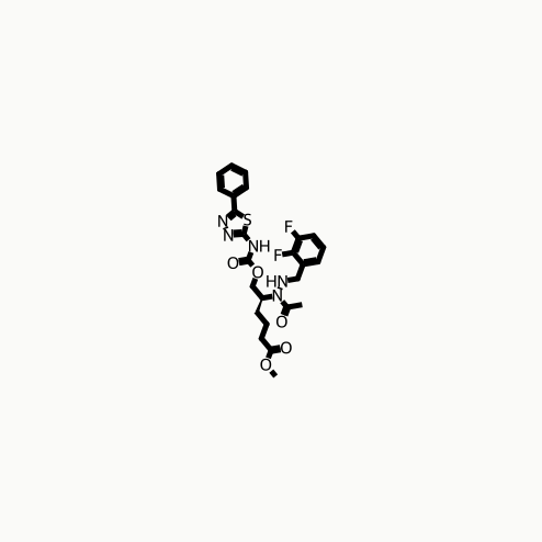 COC(=O)CCC[C@@H](COC(=O)Nc1nnc(-c2ccccc2)s1)N(NCc1cccc(F)c1F)C(C)=O